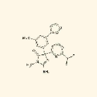 COc1cc(-c2ccoc2)cc(C2(c3cccc(C(F)F)n3)N=C(N)N(C)C2=O)c1